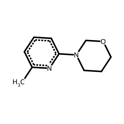 Cc1cccc(N2CCCOC2)n1